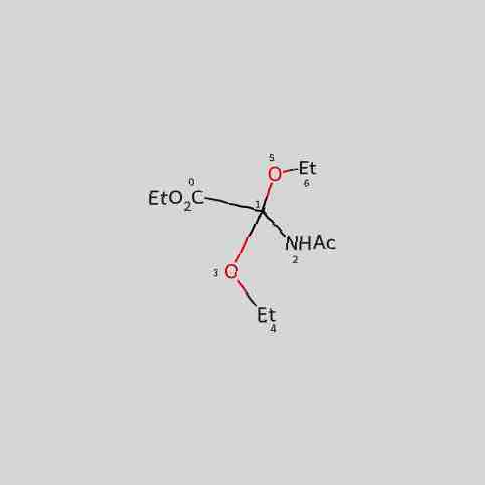 CCOC(=O)C(NC(C)=O)(OCC)OCC